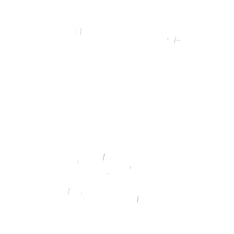 CCCC1=C[CH]([Hf]([Cl])([Cl])([CH]2C=C(CCC)C=C2c2ccccc2)[SiH](C)C)C(c2ccccc2)=C1